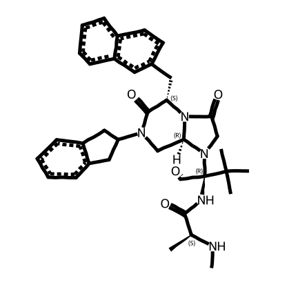 CN[C@@H](C)C(=O)N[C@@](C=O)(N1CC(=O)N2[C@@H](Cc3ccc4ccccc4c3)C(=O)N(C3Cc4ccccc4C3)C[C@@H]21)C(C)(C)C